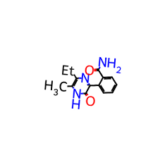 CCc1nc(-c2ccccc2C(N)=O)c(=O)[nH]c1C